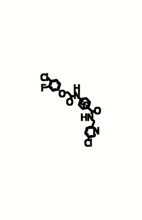 O=C(COc1ccc(Cl)c(F)c1)NC12CCC(C(=O)NCc3ccc(Cl)cn3)(CC1)OC2